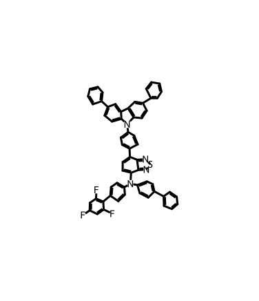 Fc1cc(F)c(-c2ccc(N(c3ccc(-c4ccccc4)cc3)c3ccc(-c4ccc(-n5c6ccc(-c7ccccc7)cc6c6cc(-c7ccccc7)ccc65)cc4)c4nsnc34)cc2)c(F)c1